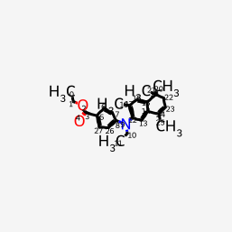 CCOC(=O)c1ccc(N(CC)c2cc3c(cc2C)C(C)(C)CC=C3C)cc1